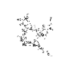 C#CCCN(C)C1CC(C)OC(O[C@@H]2[C@@H](C)[C@H](O[C@H]3C[C@@](C)(OC)[C@@H](O)C(C)O3)C(C)C(=O)O[C@H](CC)[C@@](C)(O)C(O)C(C)/C(=N/OCOCCOC)[C@H](C)C[C@@]2(C)O)[C@@H]1O